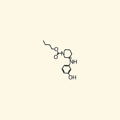 CCCCOC(=O)N1CCC[C@@H](Nc2cccc(O)c2)C1